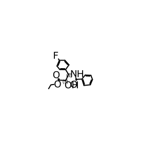 CCOC(=O)[C@@H](O)[C@@H](NC(=O)c1ccccc1)c1ccc(F)cc1